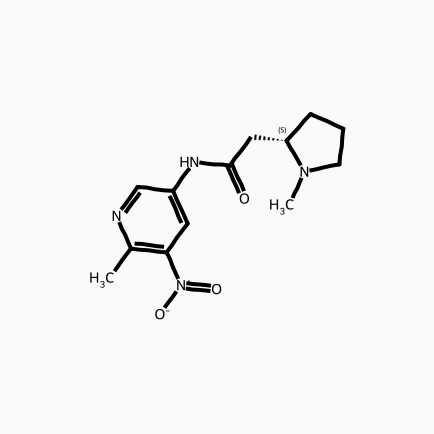 Cc1ncc(NC(=O)C[C@@H]2CCCN2C)cc1[N+](=O)[O-]